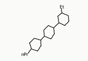 CCCC1CCC(C2CCC(C3CCCC(CC)C3)CC2)CC1